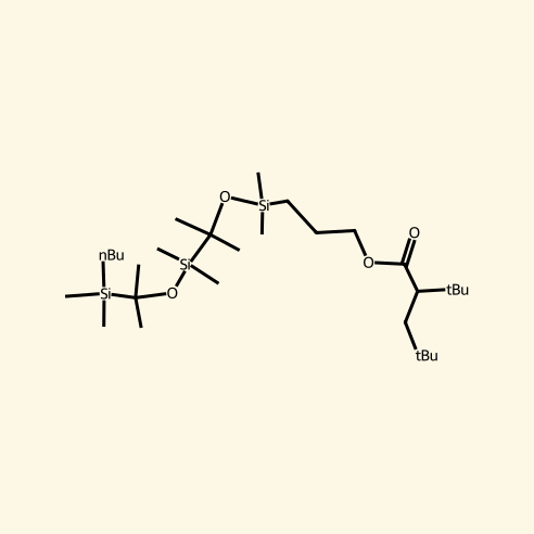 CCCC[Si](C)(C)C(C)(C)O[Si](C)(C)C(C)(C)O[Si](C)(C)CCCOC(=O)C(CC(C)(C)C)C(C)(C)C